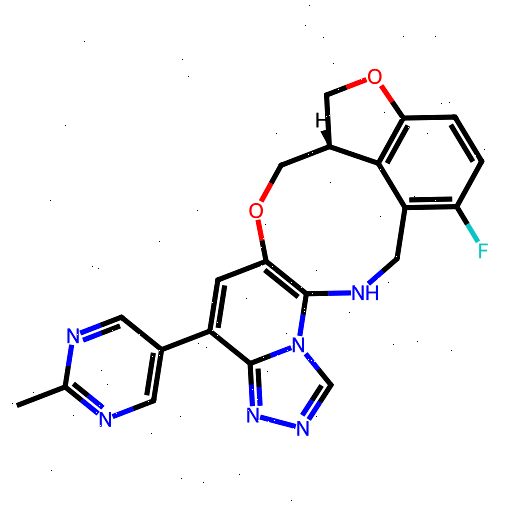 Cc1ncc(-c2cc3c(n4cnnc24)NCc2c(F)ccc4c2[C@@H](CO4)CO3)cn1